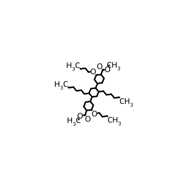 CCCCCCC1CC(C2CCC(C(=O)OC)C(OCCCC)C2)C(CCCCCC)CC1C1CCC(C(=O)OC)C(OCCCC)C1